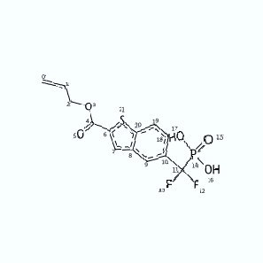 C=CCOC(=O)c1cc2cc(C(F)(F)P(=O)(O)O)ccc2s1